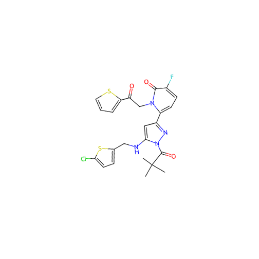 CC(C)(C)C(=O)n1nc(-c2ccc(F)c(=O)n2CC(=O)c2cccs2)cc1NCc1ccc(Cl)s1